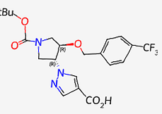 CC(C)(C)OC(=O)N1C[C@@H](n2cc(C(=O)O)cn2)[C@H](OCc2ccc(C(F)(F)F)cc2)C1